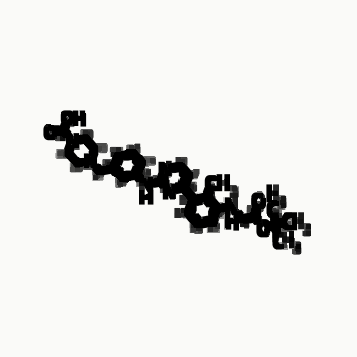 Cc1c(NCC(=O)OC(C)(C)C)cccc1-c1ccnc(Nc2cccc(CN3CCN(C(=O)O)CC3)c2)n1